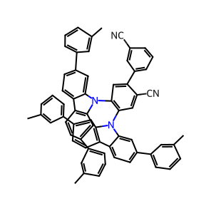 Cc1cccc(-c2ccc3c4ccc(-c5cccc(C)c5)cc4n(-c4cc(C#N)c(-c5cccc(C#N)c5)cc4-n4c5cc(-c6cccc(C)c6)ccc5c5ccc(-c6cccc(C)c6)cc54)c3c2)c1